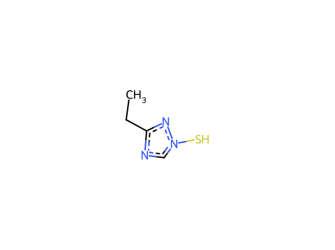 CCc1ncn(S)n1